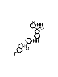 O=C(c1cc(Nc2ccc3c(c2)CC2(C3)C(=O)Nc3ncccc32)ccn1)N1CCc2cc(F)ccc21